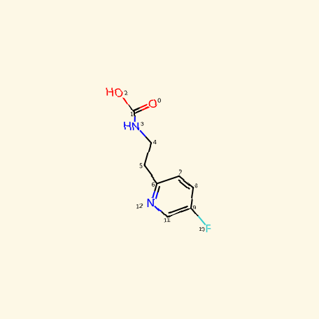 O=C(O)NCCc1ccc(F)cn1